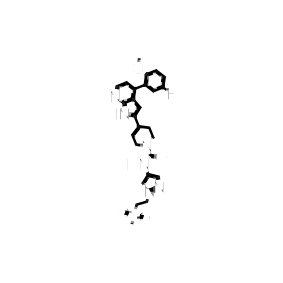 COc1ccc(F)cc1-c1ccnc2[nH]c(C3=CCN(C(=O)Nc4cnn(CCS(C)(=O)=O)c4)CC3)cc12